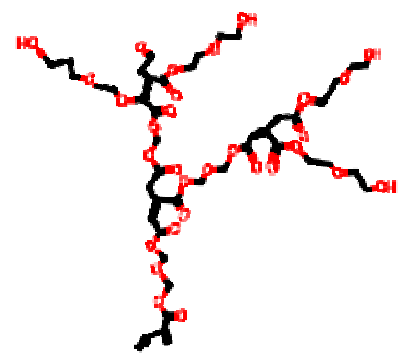 C=CC(=C)C(=O)OCOCOC(=O)/C=C(/CC(=O)OCOC(=O)/C(OCCOCCCO)=C(/CC=O)C(=O)OCCOCCO)C(=O)OCOCOC(=O)/C=C(/CC(=O)OCCOCCO)C(=O)OCCOCCO